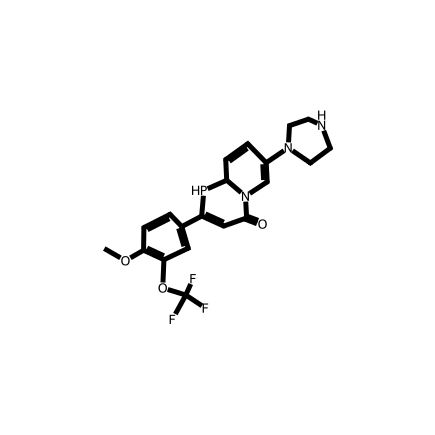 COc1ccc(C2=CC(=O)N3C=C(N4CCNCC4)C=CC3P2)cc1OC(F)(F)F